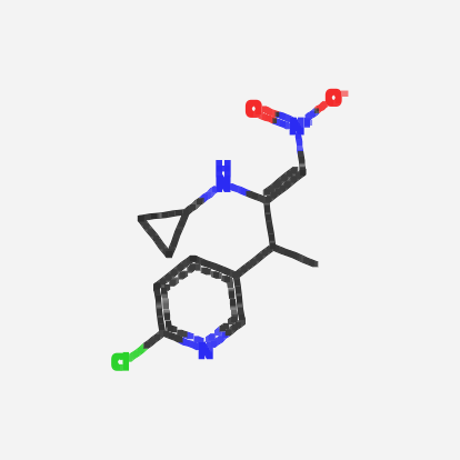 CC(C(=C[N+](=O)[O-])NC1CC1)c1ccc(Cl)nc1